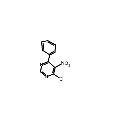 O=[N+]([O-])c1c(Cl)ncnc1-c1ccccc1